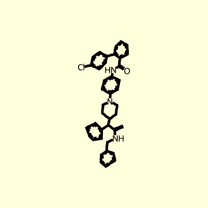 C=C(NCc1ccccc1)C(c1ccccc1)C1CCN(c2ccc(NC(=O)c3ccccc3-c3ccc(Cl)cc3)cc2)CC1